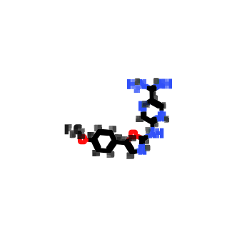 N=C(N)c1cnc(Nc2ncc(-c3ccc(OC(F)(F)F)cc3)o2)cn1